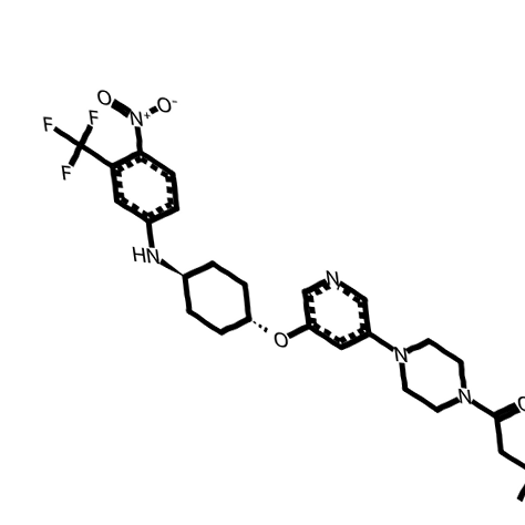 CC(C)(C)CC(=O)N1CCN(c2cncc(O[C@H]3CC[C@H](Nc4ccc([N+](=O)[O-])c(C(F)(F)F)c4)CC3)c2)CC1